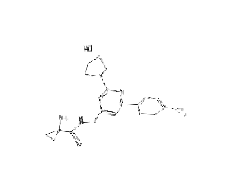 Cl.NC1(C(=O)NCc2cc(-c3ccc(C(F)(F)F)cc3)nc(N3CCCC3)c2)CC1